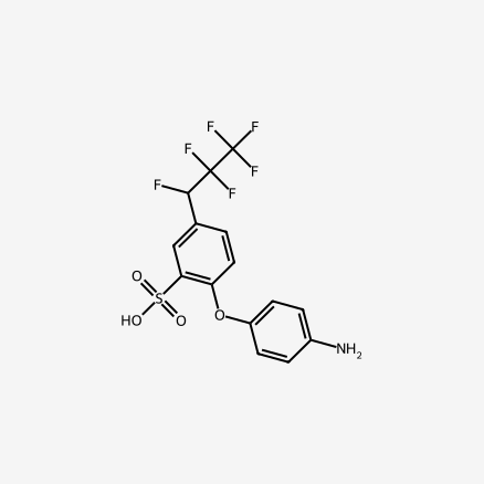 Nc1ccc(Oc2ccc(C(F)C(F)(F)C(F)(F)F)cc2S(=O)(=O)O)cc1